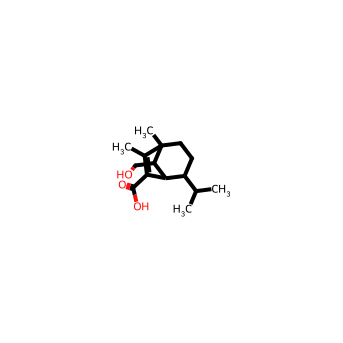 CC1=C(C(=O)O)C2C(C(C)C)CCC1(C)C2CO